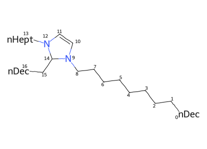 CCCCCCCCCCCCCCCCCCN1C=CN(CCCCCCC)C1CCCCCCCCCCC